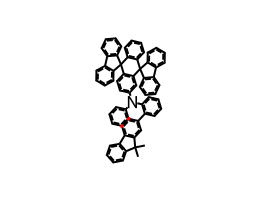 CC1(C)c2ccccc2-c2ccc(-c3ccccc3N(c3ccccc3)c3ccc4c(c3)C3(c5ccccc5-c5ccccc53)c3ccccc3C43c4ccccc4-c4ccccc43)cc21